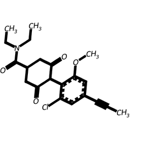 CC#Cc1cc(Cl)c(C2C(=O)CC(C(=O)N(CC)CC)CC2=O)c(OC)c1